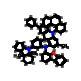 Cc1cc2c3c(c1)N(c1cccc4c#cc5ccccc5c14)c1ccc(-c4ccccc4)cc1B3c1ccc(N3c4ccccc4C4(C)CCCCC34C)cc1N2c1cccc2c1oc1ccccc12